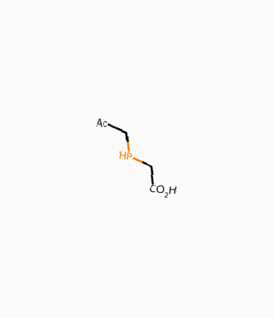 CC(=O)CPCC(=O)O